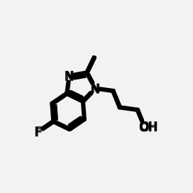 Cc1nc2cc(F)ccc2n1CCCO